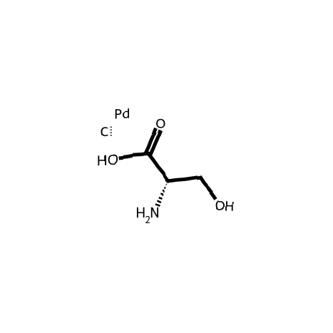 N[C@@H](CO)C(=O)O.[C].[Pd]